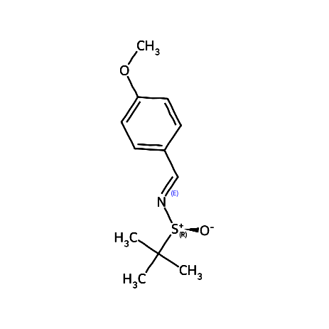 COc1ccc(/C=N/[S@@+]([O-])C(C)(C)C)cc1